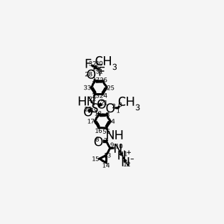 CCOc1cc(NC(=O)C(N=[N+]=[N-])C2CC2)ccc1S(=O)(=O)Nc1cccc(OC(C)(F)F)c1